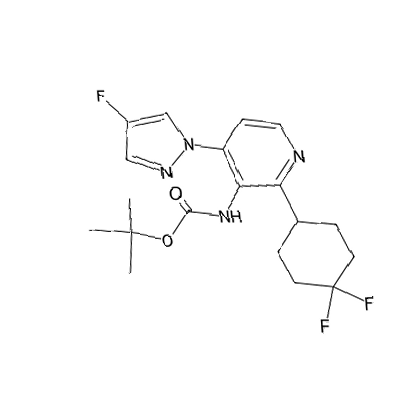 CC(C)(C)OC(=O)Nc1c(-n2cc(F)cn2)ccnc1C1CCC(F)(F)CC1